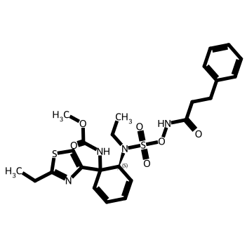 CCc1nc(C2(NC(=O)OC)C=CC=C[C@@H]2N(CC)S(=O)(=O)ONC(=O)CCc2ccccc2)cs1